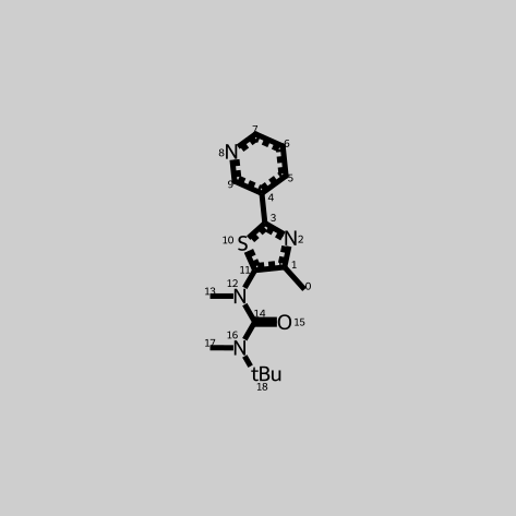 Cc1nc(-c2cccnc2)sc1N(C)C(=O)N(C)C(C)(C)C